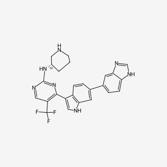 FC(F)(F)c1cnc(N[C@H]2CCCNC2)nc1-c1c[nH]c2cc(-c3ccc4[nH]cnc4c3)ccc12